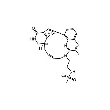 Cc1nc2cccc3c2nc1N(CCNS(C)(=O)=O)C/C=C\C[C@H]1CNC(=O)c2cc-3[nH]c21